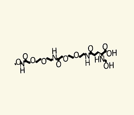 CONC(=O)COCCOCCNC(=O)COCCOCCNC(=O)CC[C@H](NCO)C(=O)O